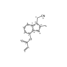 C=CC(=O)Oc1cccn2c(CC#N)c(C)nc12